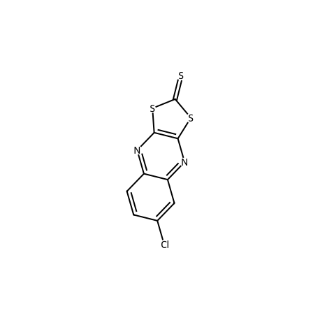 S=c1sc2nc3ccc(Cl)cc3nc2s1